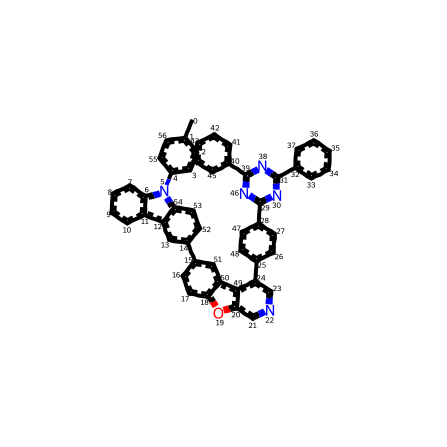 Cc1ccc(-n2c3ccccc3c3cc(-c4ccc5oc6cncc(-c7ccc(-c8nc(-c9ccccc9)nc(-c9ccccc9)n8)cc7)c6c5c4)ccc32)cc1